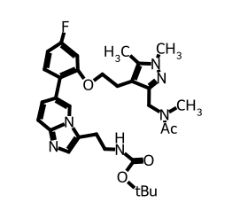 CC(=O)N(C)Cc1nn(C)c(C)c1CCOc1cc(F)ccc1-c1ccc2ncc(CCNC(=O)OC(C)(C)C)n2c1